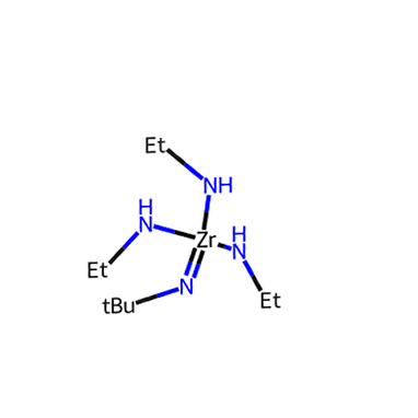 CC[NH][Zr](=[N]C(C)(C)C)([NH]CC)[NH]CC